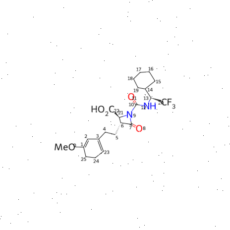 COC1=CC(CC[C@H]2C(=O)N(C(=O)N[C@@H](C3CCCCC3)C(F)(F)F)[C@@H]2C(=O)O)=CCC1